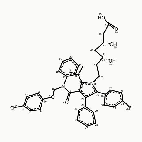 CC(C)c1c(C(=O)N(COc2ccc(Cl)cc2)c2ccccc2)c(-c2ccccc2)c(-c2ccc(F)cc2)n1CC[C@@H](O)C[C@@H](O)CC(=O)O